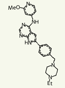 CCN1CCN(Cc2ccc(-c3cc4c(Nc5ccnc(OC)c5)ncnc4[nH]3)cc2)CC1